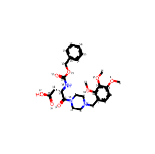 COc1ccc(CN2CCN(C(=O)[C@H](CC(=O)O)NC(=O)OCc3ccccc3)CC2)c(OC)c1OC